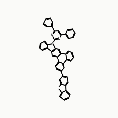 c1ccc(-c2cc(-c3ccccc3)nc(-n3c4ccccc4c4cc5c6ccc(-c7ccc8c(c7)sc7ccccc78)cc6c6ccccc6c5cc43)n2)cc1